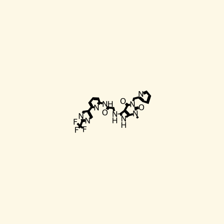 Cn1c2c(c(=O)n(Cc3ccccn3)c1=O)[C@@H](NCC(=O)Nc1cccc(-c3cnc(C(F)(F)F)nc3)n1)N2